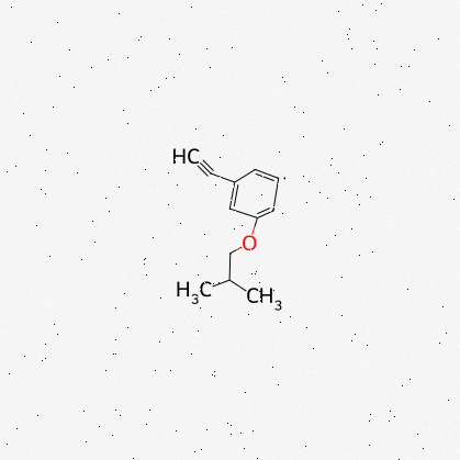 C#Cc1c[c]cc(OCC(C)C)c1